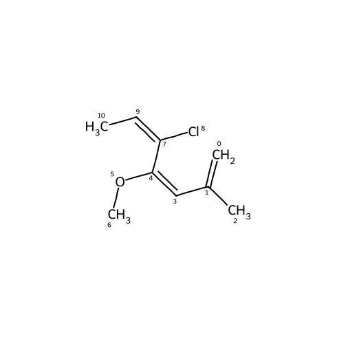 C=C(C)/C=C(OC)\C(Cl)=C/C